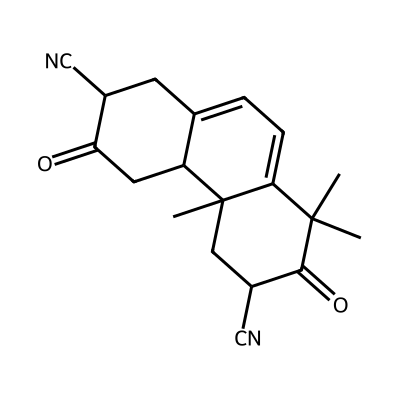 CC1(C)C(=O)C(C#N)CC2(C)C1=CC=C1CC(C#N)C(=O)CC12